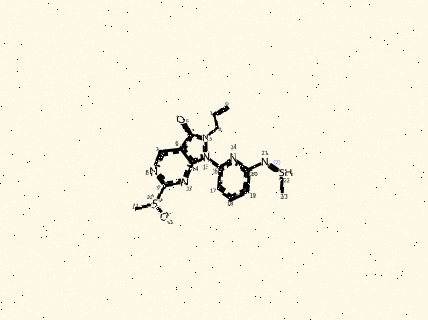 C=CCn1c(=O)c2cnc([S+](C)[O-])nc2n1-c1cccc(/N=[SH]\C)n1